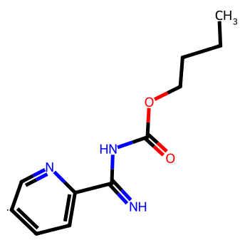 CCCCOC(=O)NC(=N)c1cc[c]cn1